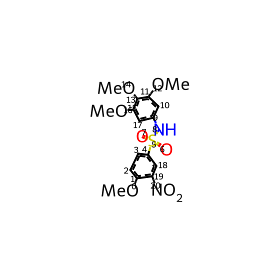 COc1ccc(S(=O)(=O)Nc2cc(OC)c(OC)c(OC)c2)cc1[N+](=O)[O-]